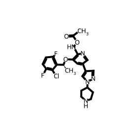 CC(=O)ONc1ncc(-c2cnn(C3CCNCC3)c2)cc1O[C@H](C)c1c(F)ccc(F)c1Cl